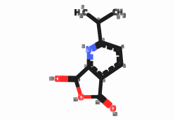 CC(C)c1ccc2c(n1)C(=O)OC2=O